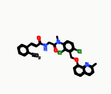 Cc1ccc2cccc(OCc3c(Cl)ccc(N(C)C(=O)CNC(=O)C=Cc4ccccc4[N+](=O)[O-])c3Cl)c2n1